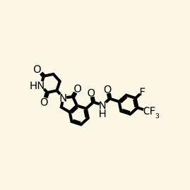 O=C1CCC(N2Cc3cccc(C(=O)NC(=O)c4ccc(C(F)(F)F)c(F)c4)c3C2=O)C(=O)N1